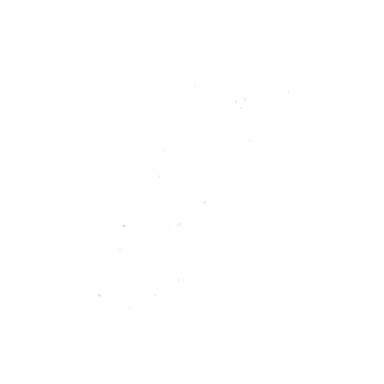 CC1=CC(C)(C)N2CCCc3c4c(cc1c32)C=C1C2=C(C)N(CCC1O4)c1ccccc1C2(C)C